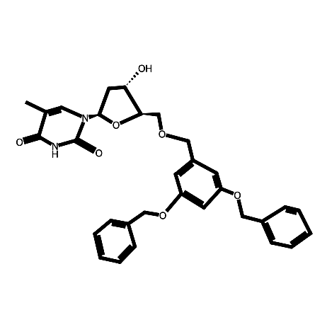 Cc1cn([C@H]2C[C@H](O)[C@@H](COCc3cc(OCc4ccccc4)cc(OCc4ccccc4)c3)O2)c(=O)[nH]c1=O